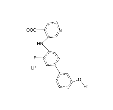 CCOc1cccc(-c2ccc(Nc3cnccc3C(=O)[O-])c(F)c2)c1.[Li+]